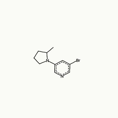 CC1CCCN1c1cncc(Br)c1